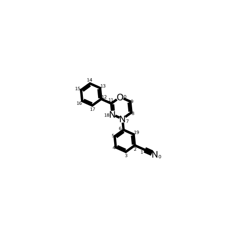 N#Cc1cccc(N2C=COC(c3ccccc3)=N2)c1